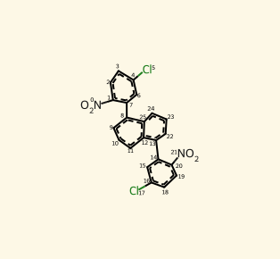 O=[N+]([O-])c1ccc(Cl)cc1-c1cccc2c(-c3cc(Cl)ccc3[N+](=O)[O-])cccc12